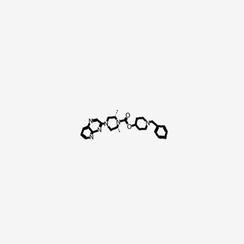 C[C@@H]1CN(c2cnc3cccnc3n2)C[C@H](C)N1C(=O)OC1CCN(Cc2ccccc2)CC1